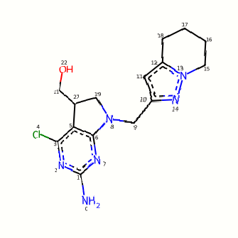 Nc1nc(Cl)c2c(n1)N(Cc1cc3n(n1)CCCC3)CC2CO